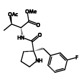 COC(=O)[C@H](NC(=O)[C@]1(Cc2cccc(F)c2)CCCN1)[C@@H](C)OC(C)=O